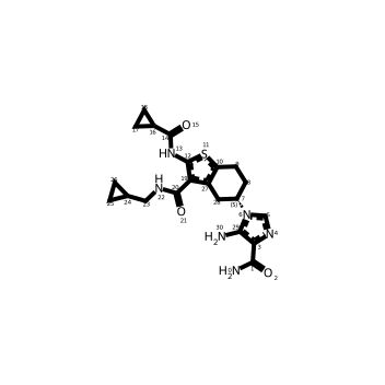 NC(=O)c1ncn([C@H]2CCc3sc(NC(=O)C4CC4)c(C(=O)NCC4CC4)c3C2)c1N